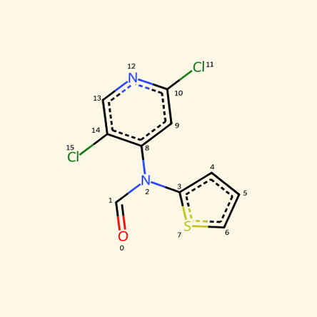 O=CN(c1cccs1)c1cc(Cl)ncc1Cl